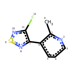 Cc1ncccc1-c1nsnc1F